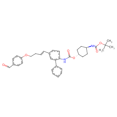 CC(C)(C)OC(=O)N[C@H]1CC[C@H](OC(=O)Nc2ccc(/C=C/CCOc3ccc(C=O)cc3)cc2-c2ccccc2)CC1